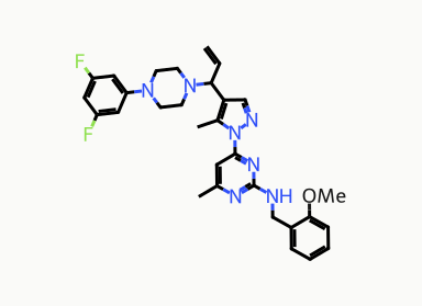 C=CC(c1cnn(-c2cc(C)nc(NCc3ccccc3OC)n2)c1C)N1CCN(c2cc(F)cc(F)c2)CC1